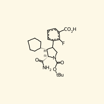 CC(C)(C)OC(=O)N1CC(c2cccc(C(=O)O)c2F)[C@@H](C2CCCCC2)[C@H]1C(N)=O